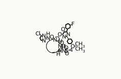 CC(C)Oc1ccc(-c2nc(O[C@@H]3C[C@H]4C(=O)N[C@]5(C(=O)NS(=O)(=O)C6CC6)C[C@H]5/C=C\CCCCC[C@H](Nc5nccc(Cl)n5)C(=O)N4C3)c3oc4ccc(F)cc4c3n2)cc1